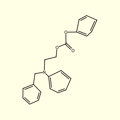 O=C(OCCN(Cc1ccccc1)c1ccccc1)Oc1ccccc1